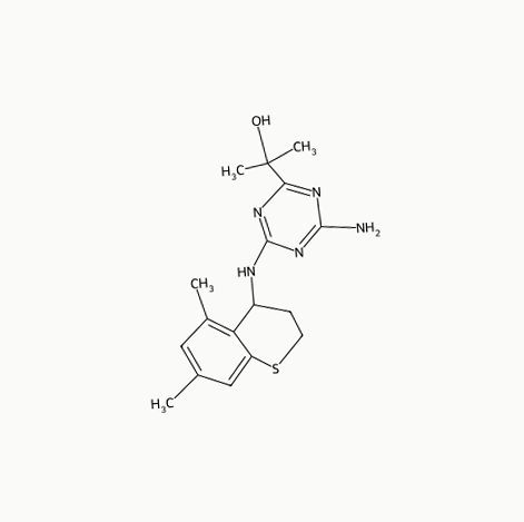 Cc1cc(C)c2c(c1)SCCC2Nc1nc(N)nc(C(C)(C)O)n1